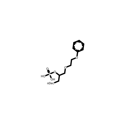 CCCCCCCCCCCC(COCCOc1ccccc1)OP(=O)(O)O